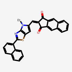 CCn1c(C=C2C(=O)c3cc4ccccc4cc3C2=O)cc2sc(-c3cccc4ccccc34)nc21